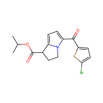 CC(C)OC(=O)C1CCn2c(C(=O)c3ccc(Br)s3)ccc21